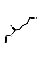 C=COC(=O)CCCC=O